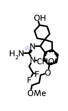 COCCCOc1ccc2c(c1)C(/N=C(/N)N(C=O)CC(F)F)C1(CCC(O)CC1)C2